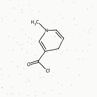 CN1C=CCC(C(=O)Cl)=C1